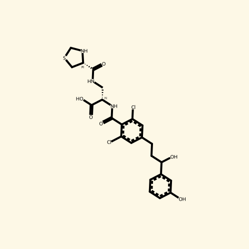 O=C(N[C@@H](CNC(=O)[C@@H]1CSCN1)C(=O)O)c1c(Cl)cc(CCC(O)c2cccc(O)c2)cc1Cl